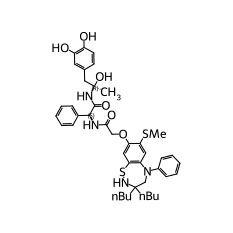 CCCCC1(CCCC)CN(c2ccccc2)c2cc(SC)c(OCC(=O)N[C@H](C(=O)N[C@](C)(O)Cc3ccc(O)c(O)c3)c3ccccc3)cc2SN1